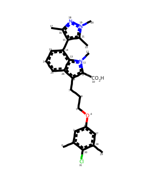 Cc1cc(OCCCc2c(C(=O)O)n(C)c3c(-c4c(C)nn(C)c4C)cccc23)cc(C)c1Cl